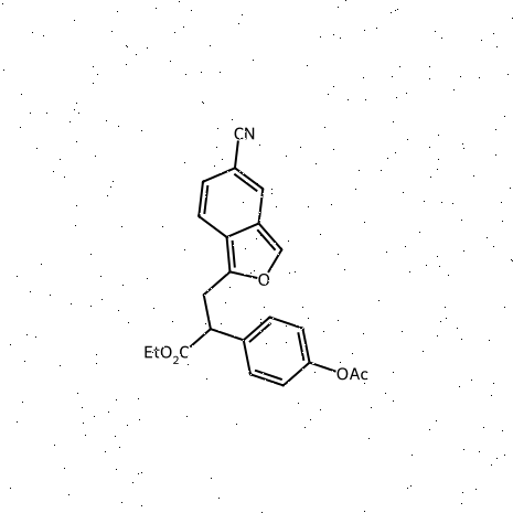 CCOC(=O)C(Cc1occ2cc(C#N)ccc12)c1ccc(OC(C)=O)cc1